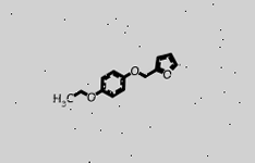 CCOc1ccc(OCc2cc[c]o2)cc1